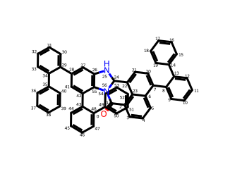 O=C1c2cccc3c(-c4ccccc4-c4ccccc4)ccc(c23)C2Nc3cc(-c4ccccc4-c4ccccc4)cc(-c4ccccc4-c4ccccc4)c3N12